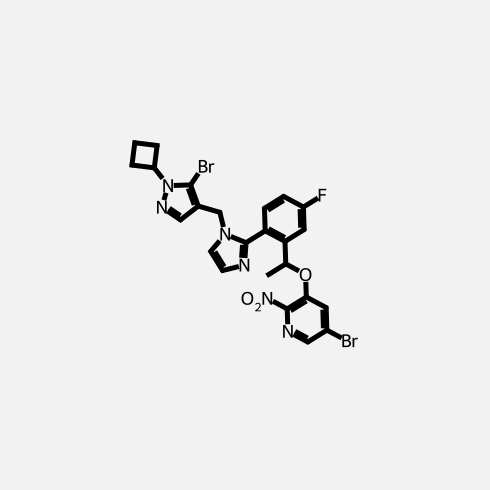 CC(Oc1cc(Br)cnc1[N+](=O)[O-])c1cc(F)ccc1-c1nccn1Cc1cnn(C2CCC2)c1Br